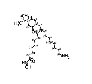 CN(C)c1ccc(CN(CCCNCCCCN)C(=O)CCCCCCC(=O)NO)cc1